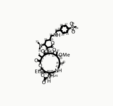 CC[C@H]1OC(=O)C(C)C(=O)[C@H](C)[C@@H](O[C@@H]2OC(CNCc3ccc(S(C)(=O)=O)cc3)CC(N(C)C)C2O)[C@](C)(OC)C[C@@H](C)CN[C@H](C)[C@H]2NC(=O)O[C@@]21C